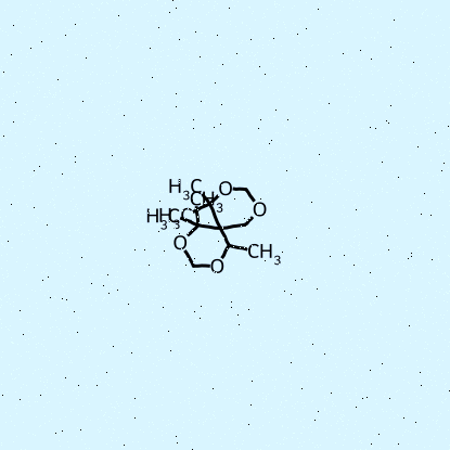 CC1OCOC(C)(C)C12COCOC2(C)C